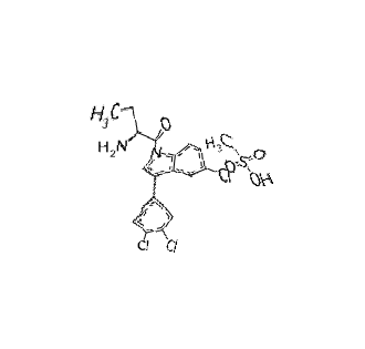 CC[C@H](N)C(=O)n1cc(-c2ccc(Cl)c(Cl)c2)c2cc(Cl)ccc21.CS(=O)(=O)O